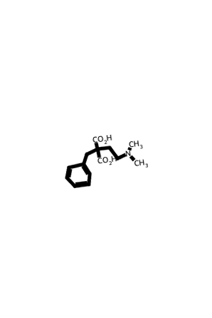 CN(C)CCC(Cc1ccccc1)(C(=O)O)C(=O)O